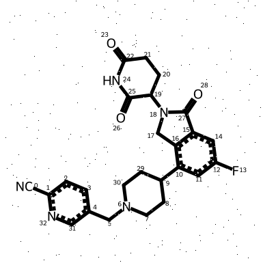 N#Cc1ccc(CN2CCC(c3cc(F)cc4c3CN(C3CCC(=O)NC3=O)C4=O)CC2)cn1